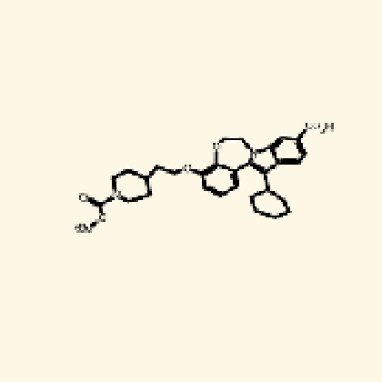 CC(C)(C)OC(=O)N1CCC(CCOc2cccc3c2OCCn2c-3c(C3CCCCC3)c3ccc(C(=O)O)cc32)CC1